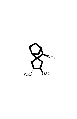 CC(=O)OC1CC2(C[C@H]1OC(C)=O)C1CCC(C1)C2N